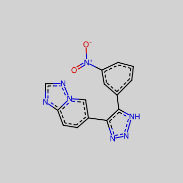 O=[N+]([O-])c1cccc(-c2[nH]nnc2-c2ccc3ncnn3c2)c1